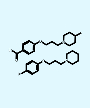 Brc1ccc(OCCCN2CCCCC2)cc1.CCC(=O)c1ccc(OCCCN2CCC(C)CC2)cc1